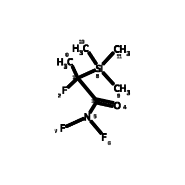 CC(F)(C(=O)N(F)F)[Si](C)(C)C